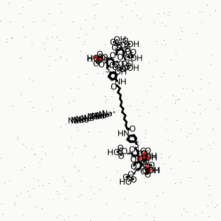 O=C(CCCCCCCCCCCCC(=O)Nc1ccc(S[C@@H]2O[C@H](COS(=O)(=O)O)[C@@H](O[C@@H]3O[C@H](COS(=O)(=O)O)[C@@H](OS(=O)(=O)O)[C@H](OS(=O)(=O)O)[C@H]3OS(=O)(=O)O)[C@H](OS(=O)(=O)O)[C@H]2OS(=O)(=O)O)cc1)Nc1ccc(S[C@@H]2O[C@H](COS(=O)(=O)O)[C@@H](O[C@@H]3O[C@H](COS(=O)(=O)O)[C@@H](OS(=O)(=O)O)[C@H](OS(=O)(=O)O)[C@H]3OS(=O)(=O)O)[C@H](OS(=O)(=O)O)[C@H]2OS(=O)(=O)O)cc1.[Na+].[Na+].[Na+].[Na+].[Na+].[Na+].[Na+].[Na+].[Na+].[Na+].[Na+].[Na+].[Na+].[Na+]